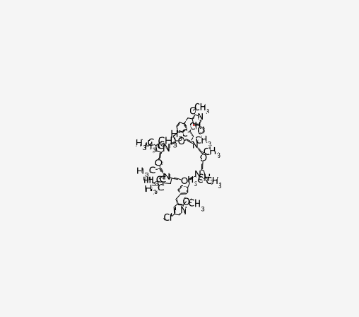 COc1ncc(Cl)cc1Cc1ccc(CC2=CN(C)C(CC(C)C)=COC(C)=CN(C)C(CC(C)C)=COC(Cc3ccc(Cc4cc(Cl)cnc4OC)cc3)=CN(C)C(CC(C)C)=COC(C)=CN(C)C(CC(C)C)=CO2)cc1